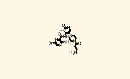 NCCC(=O)N1CCN(c2cnc(=O)[nH]c2NC(=O)c2nc(Br)cnc2N)CC1